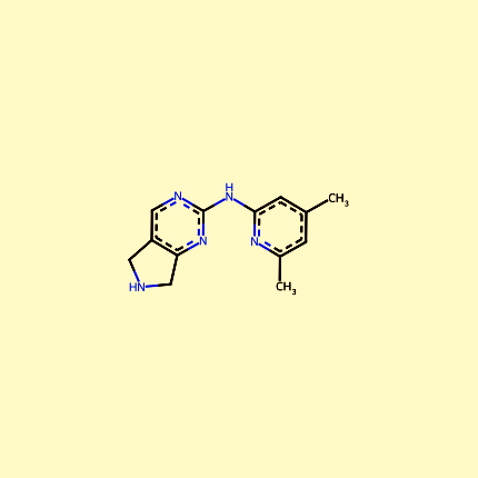 Cc1cc(C)nc(Nc2ncc3c(n2)CNC3)c1